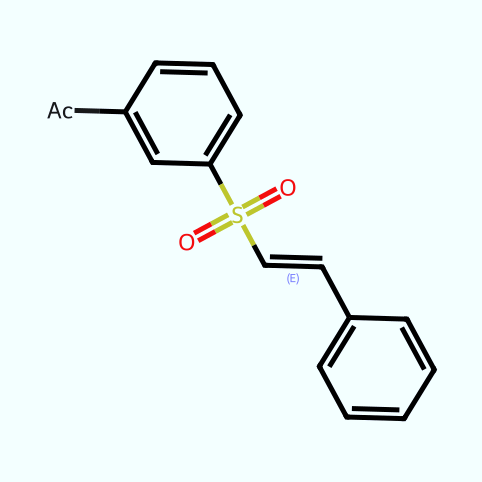 CC(=O)c1cccc(S(=O)(=O)/C=C/c2ccccc2)c1